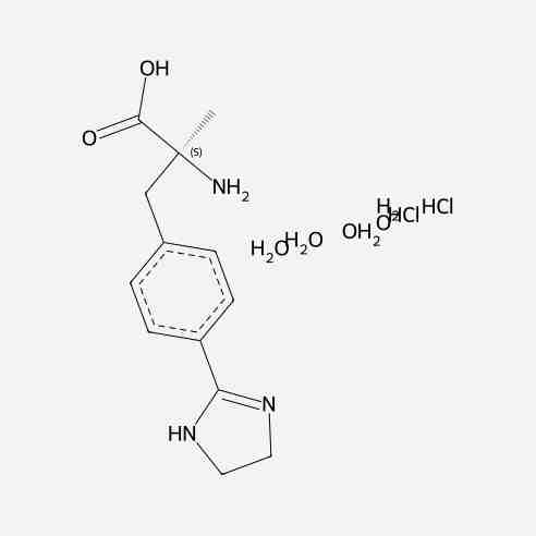 C[C@](N)(Cc1ccc(C2=NCCN2)cc1)C(=O)O.Cl.Cl.O.O.O.O